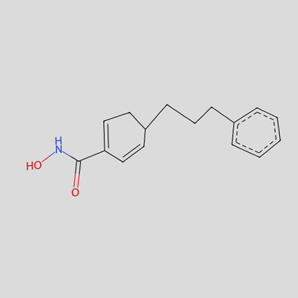 O=C(NO)C1=CCC(CCCc2ccccc2)C=C1